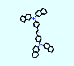 C1=C(N(c2ccc(/C=C/c3ccc(N(c4ccc5c(c4)CCCC5)c4ccc5ccccc5c4)cc3)cc2)c2ccc3ccccc3c2)CCc2ccccc21